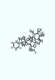 [2H]c1c([2H])c(C2([2H])OC(N)=C(OS(=O)(=O)C([2H])([2H])c3ccccc3)C2=O)c([2H])c([2H])c1C(F)(F)F